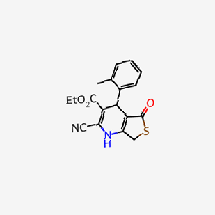 CCOC(=O)C1=C(C#N)NC2=C(C(=O)SC2)C1c1ccccc1C